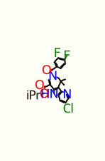 CC(C)OC(=O)C1=CN(C(=O)c2ccc(F)c(F)c2)CC(C)(C)c2c1[nH]c1cc(Cl)cnc21